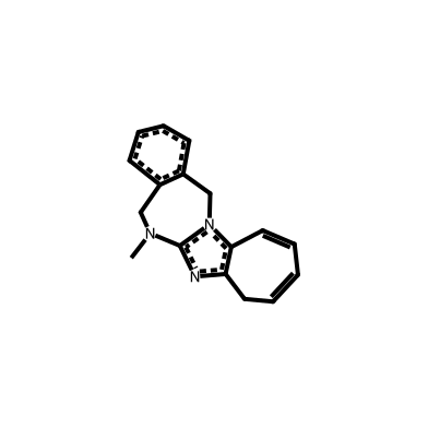 CN1Cc2ccccc2Cn2c1nc1c2C=CC=CC1